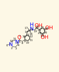 CN1CCCN(C(=O)Cc2cccc(CC(C)(C)NCC(O)c3cc(O)cc(O)c3)c2)CC1